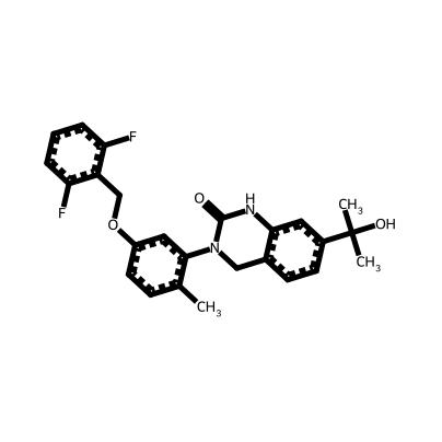 Cc1ccc(OCc2c(F)cccc2F)cc1N1Cc2ccc(C(C)(C)O)cc2NC1=O